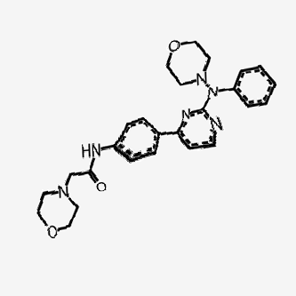 O=C(CN1CCOCC1)Nc1ccc(-c2ccnc(N(c3ccccc3)N3CCOCC3)n2)cc1